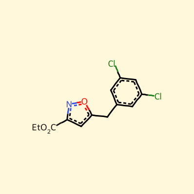 CCOC(=O)c1cc(Cc2cc(Cl)cc(Cl)c2)on1